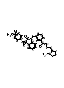 CN1CCCC1CCNC(=O)c1cccc(CN2C(=O)C3(C[C@@H]3C3=CC[C@@](C)(Cl)C=C3)c3ccccc32)c1